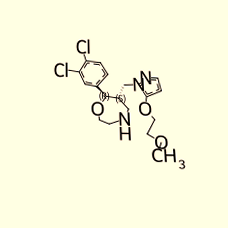 COCCOc1ccnn1C[C@@H]1CNCCO[C@H]1c1ccc(Cl)c(Cl)c1